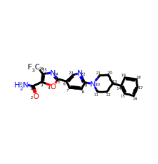 NC(=O)c1oc(-c2ccc(N3CCC(c4ccccc4)CC3)nc2)nc1C(F)(F)F